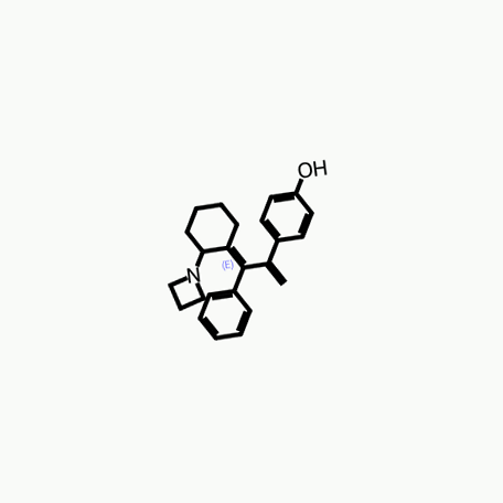 C=C(/C(=C1\CCCCC1N1CCC1)c1ccccc1)c1ccc(O)cc1